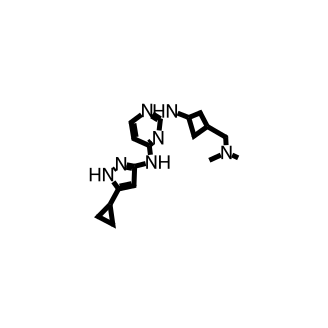 CN(C)CC1CC(Nc2nccc(Nc3cc(C4CC4)[nH]n3)n2)C1